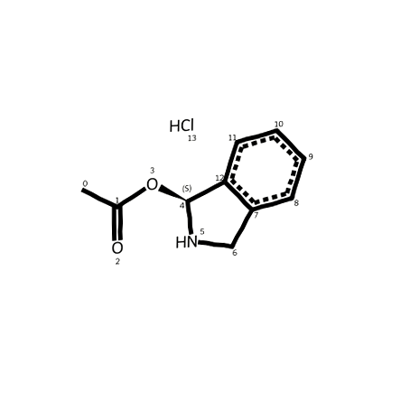 CC(=O)O[C@@H]1NCc2ccccc21.Cl